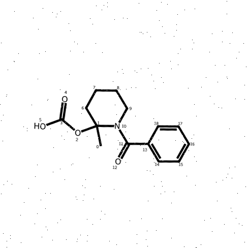 CC1(OC(=O)O)CCCCN1C(=O)c1ccccc1